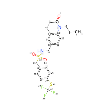 CCCN1C(=O)CCc2cc(CNS(=O)(=O)Cc3ccc(SC(F)(F)F)cc3)ccc21